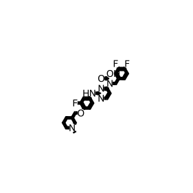 CN1CCCC(COc2ccc(Nc3nccc(N(Cc4ccc(F)c(F)c4)C(=O)O)n3)cc2F)C1